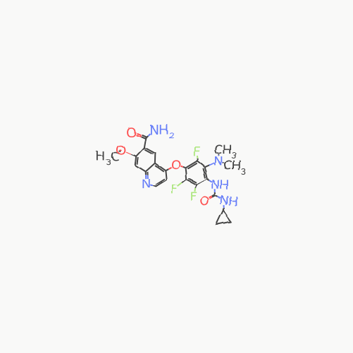 COc1cc2nccc(Oc3c(F)c(F)c(NC(=O)NC4CC4)c(N(C)C)c3F)c2cc1C(N)=O